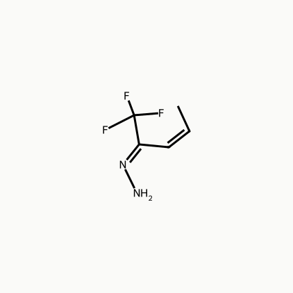 C/C=C\C(=N/N)C(F)(F)F